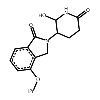 CC(C)Oc1cccc2c1CN(C1CCC(=O)NC1O)C2=O